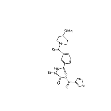 CCN(NC(=O)c1cccc(C(=O)N2CCC(OC)CC2)c1)C(=O)OC(=O)c1ccsc1